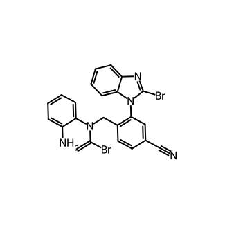 C=C(Br)N(Cc1ccc(C#N)cc1-n1c(Br)nc2ccccc21)c1ccccc1N